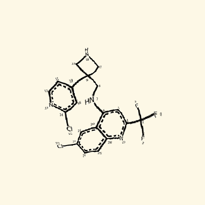 FC(F)(F)c1cc(NCC2(c3ccnc(Cl)c3)CNC2)c2cc(Cl)ccc2n1